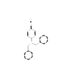 [N-]=[N+]=C1C=CC(N(Cc2ccccc2)Cc2ccccc2)C=C1